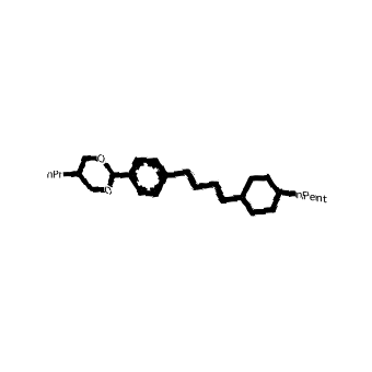 CCCCCC1CCC(CCCCc2ccc(C3OCC(CCC)CO3)cc2)CC1